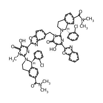 CN(C)C(=O)c1ccc2c(c1)CCN(c1nc(-c3nc4cc(Cn5c(N6CCc7ccc(C(=O)N(C)C)cc7[C@@H]6c6ccccc6Cl)nc(-c6nc7ccccc7o6)c(O)c5=O)ccc4o3)c(O)c(=O)n1C)[C@H]2c1ccccc1Cl